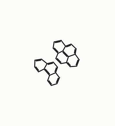 [c]1ccc2ccc3cccc4ccc1c2c43.[c]1cccc2c1ccc1ccccc12